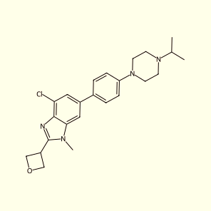 CC(C)N1CCN(c2ccc(-c3cc(Cl)c4nc(C5COC5)n(C)c4c3)cc2)CC1